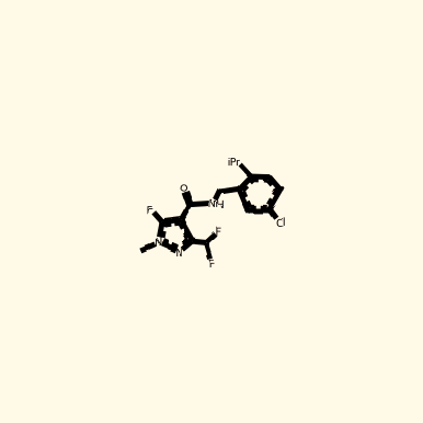 CC(C)c1ccc(Cl)cc1CNC(=O)c1c(C(F)F)nn(C)c1F